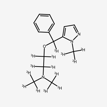 [2H]C(OC([2H])([2H])C([2H])([2H])N(C([2H])([2H])[2H])C([2H])([2H])[2H])(c1ccccc1)c1ccnn1C([2H])([2H])[2H]